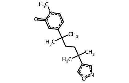 Cn1ccc(C(C)(C)CCC(C)(C)c2cnoc2)cc1=O